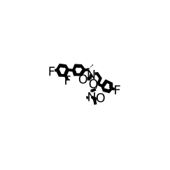 CC(=O)N(C)CC[C@@]1(c2ccc(F)cc2)CCN([C@@H](C)c2ccc(-c3ccc(F)cc3F)cc2)C(=O)O1